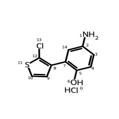 Cl.Nc1ccc(O)c(-c2ccsc2Cl)c1